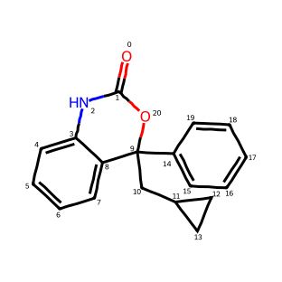 O=C1Nc2ccccc2C(CC2CC2)(c2ccccc2)O1